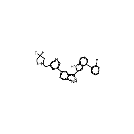 Fc1ccccc1-c1cccc2[nH]c(-c3n[nH]c4ccc(-c5cncc(CN6CCC(F)(F)C6)c5)cc34)cc12